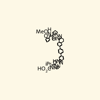 COC(=O)N[C@@H](C(=O)N1CCC[C@H]1c1nc2c([nH]1)-c1ccc(-c3ccc(-c4ccc5nc([C@@H]6CCCN6C(=O)[C@@H](NC(=O)O)C(C)C)[nH]c5c4)cc3)cc1CC2)c1ccccc1